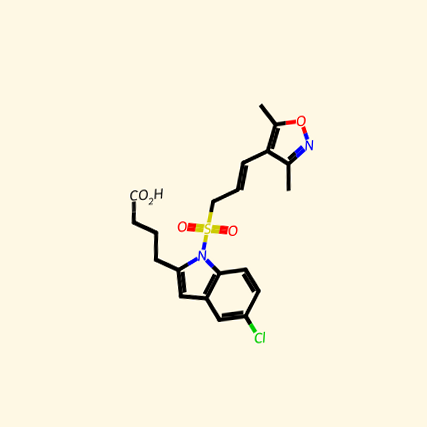 Cc1noc(C)c1C=CCS(=O)(=O)n1c(CCCC(=O)O)cc2cc(Cl)ccc21